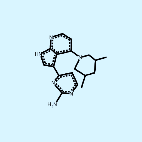 CC1CC(C)CN(c2ccnc3[nH]cc(-c4ccnc(N)n4)c23)C1